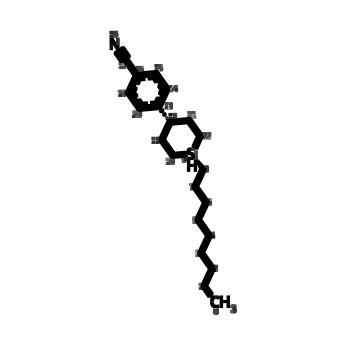 CCCCCCCCC[Si@H]1CC[C@H](c2ccc(C#N)cc2)CC1